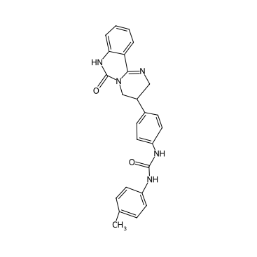 Cc1ccc(NC(=O)Nc2ccc(C3CN=C4c5ccccc5NC(=O)N4C3)cc2)cc1